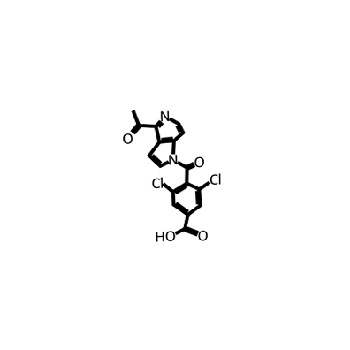 CC(=O)c1nccc2c1ccn2C(=O)c1c(Cl)cc(C(=O)O)cc1Cl